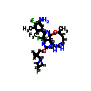 Cc1c(F)c(N)cc(-c2nc3c4c(nc(OCC5(CN6CC(F)C6)CC5)nc4c2F)NCNCC[C@H](C)O3)c1C(F)(F)F